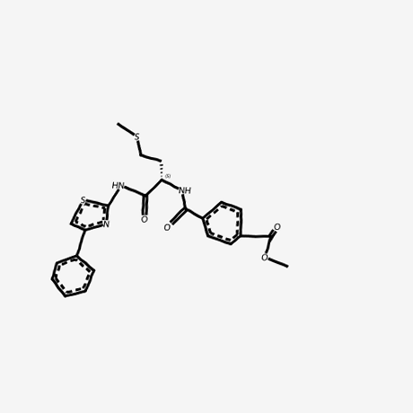 COC(=O)c1ccc(C(=O)N[C@@H](CCSC)C(=O)Nc2nc(-c3ccccc3)cs2)cc1